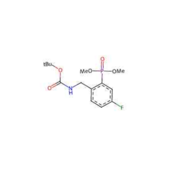 COP(=O)(OC)c1cc(F)ccc1CNC(=O)OC(C)(C)C